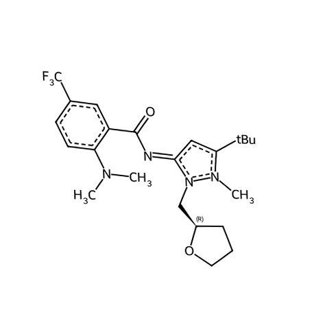 CN(C)c1ccc(C(F)(F)F)cc1C(=O)N=c1cc(C(C)(C)C)n(C)n1C[C@H]1CCCO1